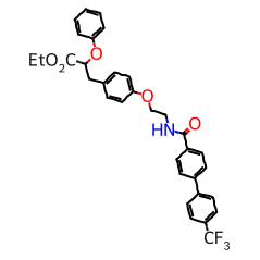 CCOC(=O)C(Cc1ccc(OCCNC(=O)c2ccc(-c3ccc(C(F)(F)F)cc3)cc2)cc1)Oc1ccccc1